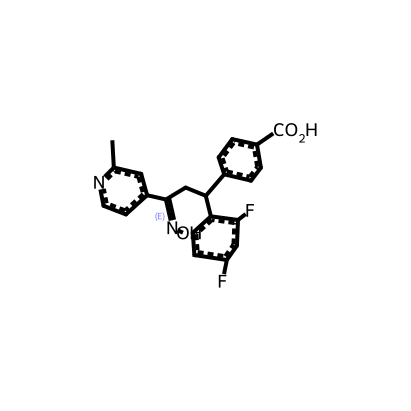 Cc1cc(/C(CC(c2ccc(C(=O)O)cc2)c2ccc(F)cc2F)=N/O)ccn1